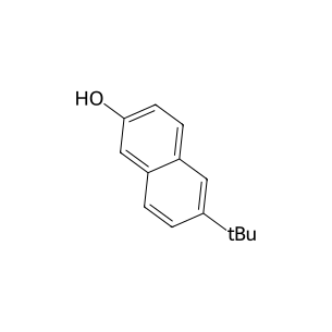 CC(C)(C)c1ccc2cc(O)ccc2c1